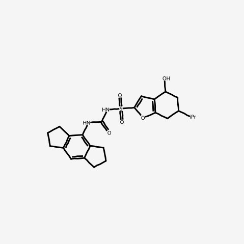 CC(C)C1Cc2oc(S(=O)(=O)NC(=O)Nc3c4c(cc5c3CCC5)CCC4)cc2C(O)C1